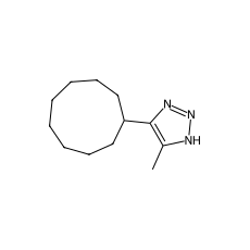 Cc1[nH]nnc1C1CCCCCCCC1